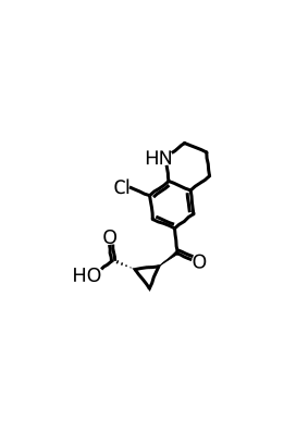 O=C(O)[C@H]1C[C@@H]1C(=O)c1cc(Cl)c2c(c1)CCCN2